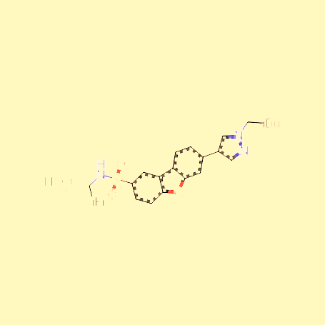 CCC(C)Cn1cc(-c2ccc3c(c2)oc2ccc(S(=O)(=O)N[C@@H](C(=O)O)C(C)C)cc23)cn1